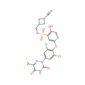 N#CC1CC(/C=N\S(=O)(=O)c2cc(Oc3c(Cl)cc(-n4nc(C(F)F)c(=O)[nH]c4=O)cc3Cl)ncc2O)C1